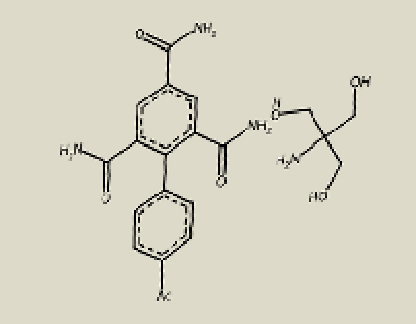 CC(=O)c1ccc(-c2c(C(N)=O)cc(C(N)=O)cc2C(N)=O)cc1.NC(CO)(CO)CO